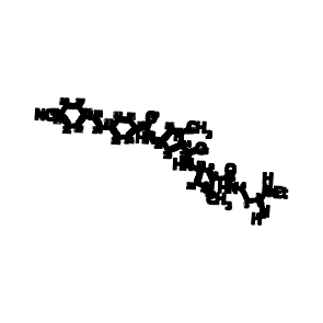 [H]/N=C(\CCNC(=O)c1cc(NC(=O)c2cc(NC(=O)c3ccc(C=Cc4ccc(C#N)cc4)cc3)cn2C)cn1C)NCC